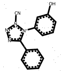 N#Cn1nnc(-c2ccccc2)[n+]1-c1cccc(O)c1